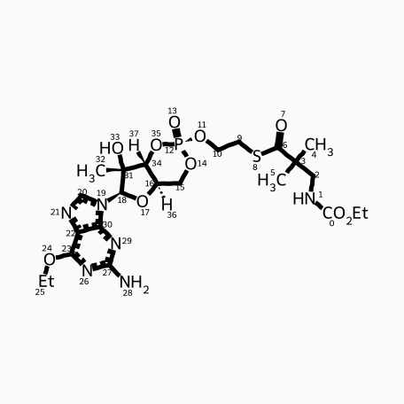 CCOC(=O)NCC(C)(C)C(=O)SCCO[P@]1(=O)OC[C@H]2O[C@@H](n3cnc4c(OCC)nc(N)nc43)[C@](C)(O)[C@@H]2O1